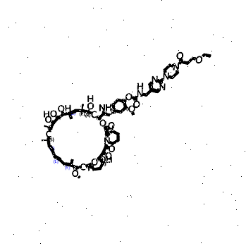 CCOCCC(=O)N1CCN(c2ncc(CNC(=O)O[C@@H]3CC[C@@H](C[C@@H](N)[C@@H]4C[C@@H](O)[C@H](C)/C=C(\C)C(O)[C@@H](O)C(=O)[C@H](C)C[C@H](C)/C=C/C=C/C=C(\C)[C@@H](OC)C[C@@H]5CC[C@@H](C)[C@@](O)(O5)C(=O)C(=O)N5CCCC[C@H]5C(=O)O4)C[C@H]3OC)cn2)CC1